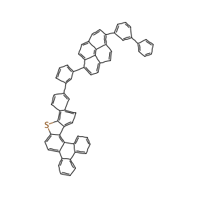 c1ccc(-c2cccc(-c3ccc4ccc5c(-c6cccc(-c7ccc8c(ccc9c8sc8ccc%10c%11ccccc%11c%11ccccc%11c%10c89)c7)c6)ccc6ccc3c4c65)c2)cc1